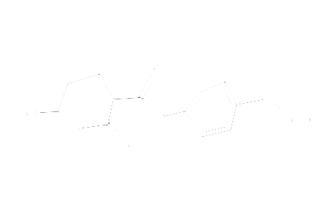 CCCCCCOc1ccc(CC(=O)C2CCC(CCC)CC2=O)cc1